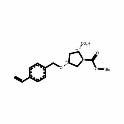 C=Cc1ccc(CO[C@@H]2C[C@H](C(=O)O)N(C(=O)OC(C)(C)C)C2)cc1